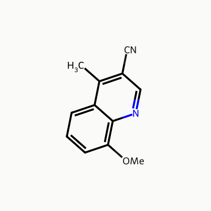 COc1cccc2c(C)c(C#N)cnc12